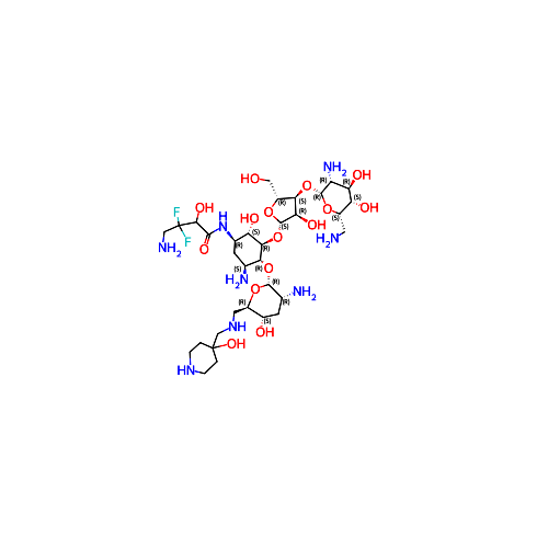 NC[C@@H]1O[C@H](O[C@H]2[C@@H](O)[C@H](O[C@@H]3[C@@H](O)[C@H](NC(=O)C(O)C(F)(F)CN)C[C@H](N)[C@H]3O[C@H]3O[C@H](CNCC4(O)CCNCC4)[C@@H](O)C[C@H]3N)O[C@@H]2CO)[C@H](N)[C@@H](O)[C@@H]1O